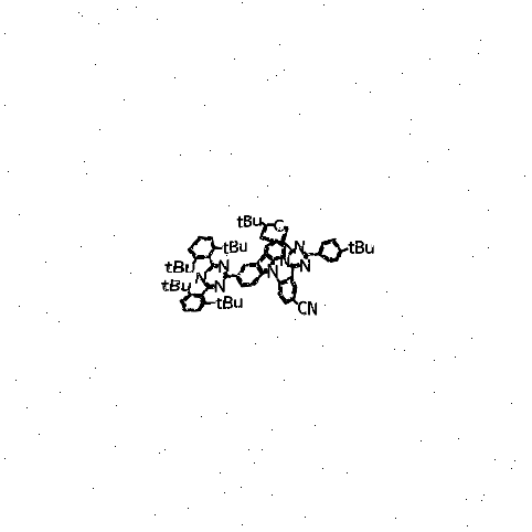 CC(C)(C)c1ccc(-c2nc(-c3ccc(C(C)(C)C)cc3)nc(-c3cc(C#N)ccc3-n3c4ccccc4c4cc(-c5nc(-c6c(C(C)(C)C)cccc6C(C)(C)C)nc(-c6c(C(C)(C)C)cccc6C(C)(C)C)n5)ccc43)n2)cc1